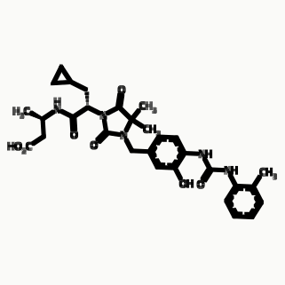 Cc1ccccc1NC(=O)Nc1ccc(CN2C(=O)N([C@@H](CC3CC3)C(=O)N[C@H](C)CC(=O)O)C(=O)C2(C)C)cc1O